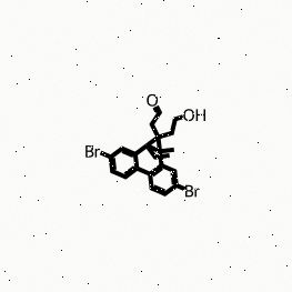 CCC12c3cc(Br)ccc3-c3ccc(Br)cc3C1(C)C2(CC=O)CCO